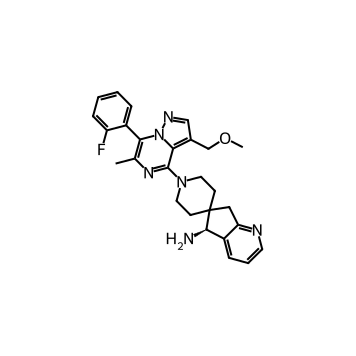 COCc1cnn2c(-c3ccccc3F)c(C)nc(N3CCC4(CC3)Cc3ncccc3[C@H]4N)c12